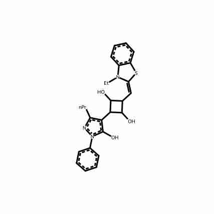 CCCc1nn(-c2ccccc2)c(O)c1C1C(O)C(C=C2Sc3ccccc3N2CC)C1O